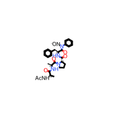 CC(=O)N[C@@H](C)C(=O)N[C@@H](C)C(=O)N1CCC[C@H]1C(=O)N[C@@H](Cc1ccccc1)C(=O)N([N+]=O)c1ccccc1